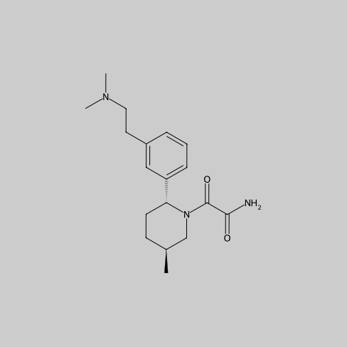 C[C@H]1CC[C@H](c2cccc(CCN(C)C)c2)N(C(=O)C(N)=O)C1